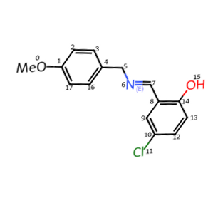 COc1ccc(C/N=C/c2cc(Cl)ccc2O)cc1